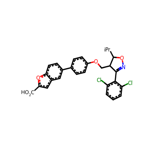 CC(C)C1ON=C(c2c(Cl)cccc2Cl)C1COc1ccc(-c2ccc3oc(C(=O)O)cc3c2)cc1